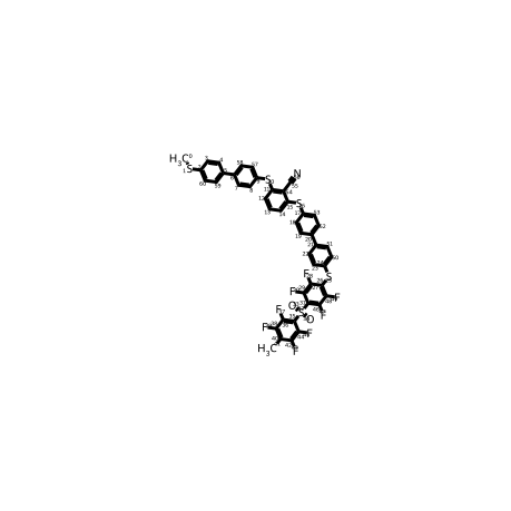 CSc1ccc(-c2ccc(Sc3cccc(Sc4ccc(-c5ccc(Sc6c(F)c(F)c(S(=O)(=O)c7c(F)c(F)c(C)c(F)c7F)c(F)c6F)cc5)cc4)c3C#N)cc2)cc1